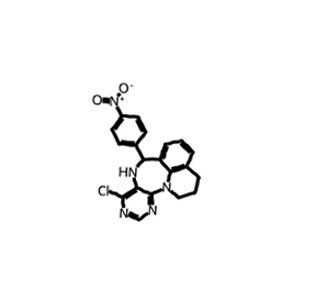 O=[N+]([O-])c1ccc(C2Nc3c(Cl)ncnc3N3CCCc4cccc2c43)cc1